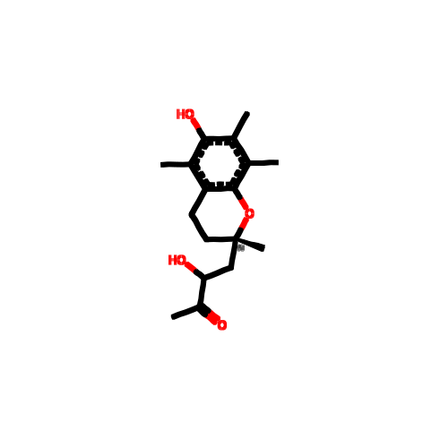 CC(=O)C(O)C[C@]1(C)CCc2c(C)c(O)c(C)c(C)c2O1